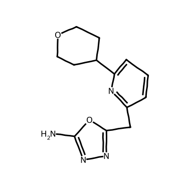 Nc1nnc(Cc2cccc(C3CCOCC3)n2)o1